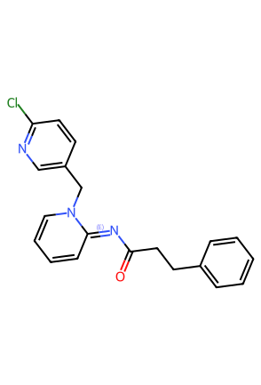 O=C(CCc1ccccc1)/N=c1\ccccn1Cc1ccc(Cl)nc1